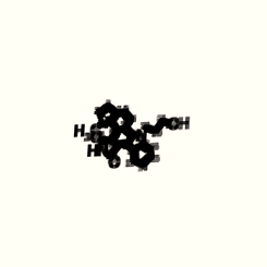 Cn1ccc2ccc3c(c4c(c5c6ccccc6n(CCCO)c35)C(=O)NC4=O)c21